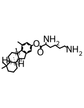 Cc1cc(OC(=O)C(N)CCCCN)cc2c1[C@@]1(C)CC[C@H]3C(C)(C)CCC[C@]3(C)[C@@H]1C2